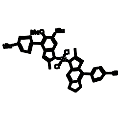 COc1c(C(C)(C)C)cc2c(c1-c1ccc(C(C)(C)C)cc1)C=C(C)[CH]2[Zr]([Cl])([Cl])[CH]1C(C)=Cc2c1cc1c(c2-c2ccc(C(C)(C)C)cc2)CCC1